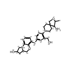 CC1OCC2(CCN(c3ncc(Sc4ccnc5c4OCC4CC(O)CN54)nc3CO)CC2)C1N